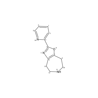 c1ccc(-c2nc3c(o2)CCNCC3)nc1